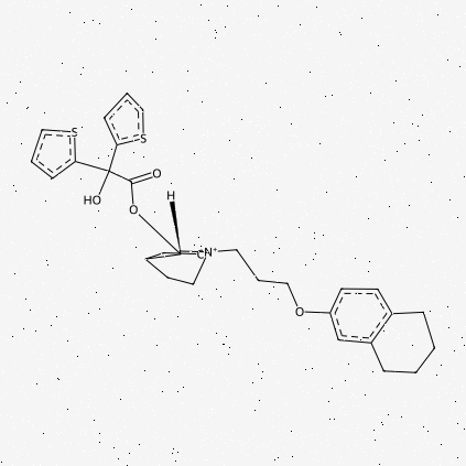 O=C(O[C@H]1C[N+]2(CCCOc3ccc4c(c3)CCCC4)CCC1CC2)C(O)(c1cccs1)c1cccs1